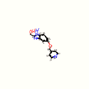 OCc1nc2cc(OCc3ccncc3)ccc2[nH]1